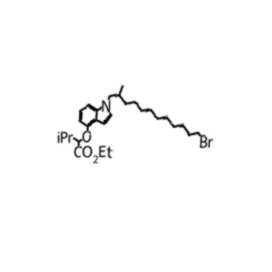 CCOC(=O)C(Oc1cccc2c1ccn2CC(C)CCCCCCCCCCBr)C(C)C